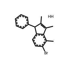 CC1=C(C)C(c2ccccc2)c2ccc(Br)c(C)c21.[HH]